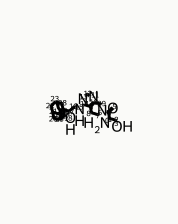 N[C@H](CO)C(=O)N1CCc2c(ncnc2NCC(O)C23CC4CC(CC(C4)C2)C3)C1